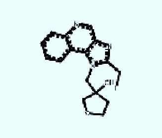 OC1(Cn2c(CF)nc3cnc4ccccc4c32)CCOC1